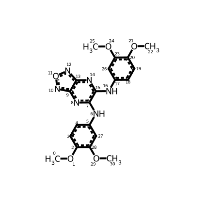 COc1ccc(Nc2nc3nonc3nc2Nc2ccc(OC)c(OC)c2)cc1OC